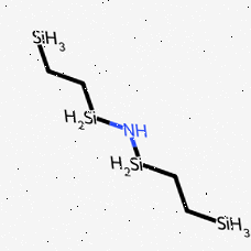 [SiH3]CC[SiH2]N[SiH2]CC[SiH3]